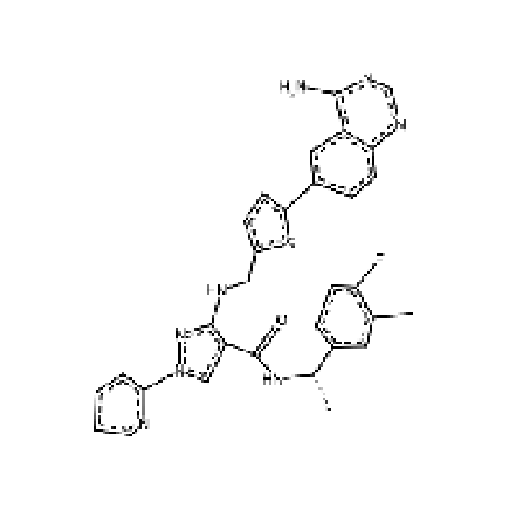 Cc1cc([C@H](C)NC(=O)c2cn(-c3ccccn3)nc2NCc2ccc(-c3ccc4ncnc(N)c4c3)s2)ccc1F